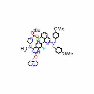 COc1ccc(CN(Cc2ccc(OC)cc2)c2cc3cccc(Cl)c3c(-c3ncc4c(N(C)[C@@H]5CCN(C(=O)OC(C)(C)C)C5)nc(OCC56CCCN5CCC6)nc4c3F)n2)cc1